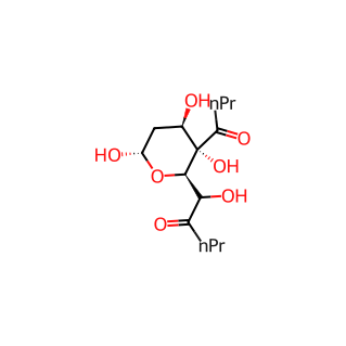 CCCC(=O)C(O)[C@H]1O[C@H](O)C[C@@H](O)[C@@]1(O)C(=O)CCC